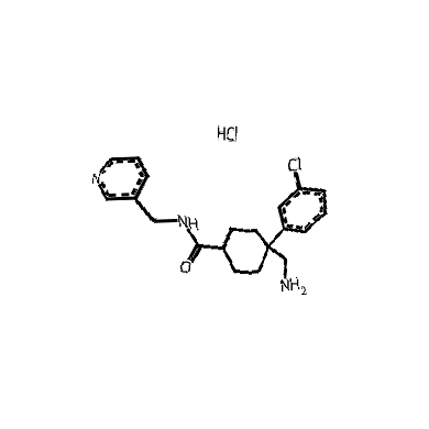 Cl.NCC1(c2cccc(Cl)c2)CCC(C(=O)NCc2cccnc2)CC1